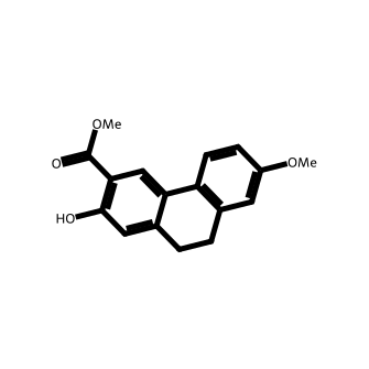 COC(=O)c1cc2c(cc1O)CCc1cc(OC)ccc1-2